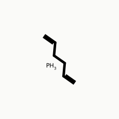 C=CCCC=C.P